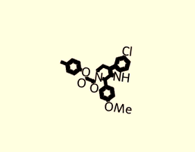 COc1ccc(C2c3[nH]c4ccc(Cl)cc4c3CCN2C(=O)C(=O)Oc2ccc(C)cc2)cc1